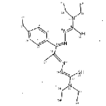 CCc1ccc(C(=N\N=C(/S)N(CC)CC)/C(C)=N/N=C(\S)N(CC)CC)cc1